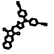 N#Cc1ccc(N(c2ccc(C#N)cc2)c2ccc(C=C3C(=O)c4cc5ccccc5cc4C3=O)s2)cc1